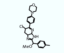 COC(C1=NC2CC(Cl)C(c3ccc(N4CCOCC4)cc3)=NC2N1)c1ccc(C)cc1